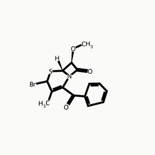 CO[C@H]1C(=O)N2C(C(=O)c3ccccc3)=C(C)C(Br)S[C@H]12